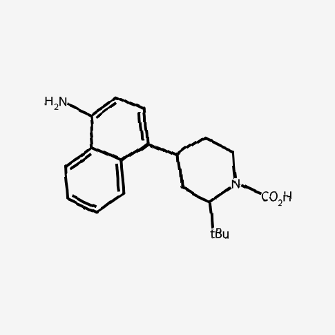 CC(C)(C)C1CC(c2ccc(N)c3ccccc23)CCN1C(=O)O